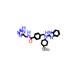 CC(C)(C)C1CCC(N(Cc2ccc(C(=O)NCc3nnn[nH]3)cc2)c2nc3ccccc3[nH]2)CC1